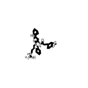 N=C(N)NCCCCN(Cc1ccccc1)C(=O)C(Cc1c[nH]c2ccccc12)NC(=O)CCc1ccc2c(c1)OCO2